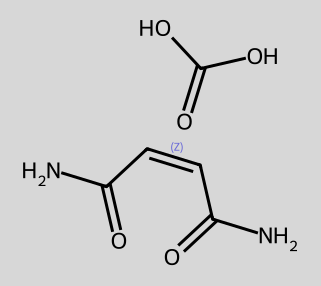 NC(=O)/C=C\C(N)=O.O=C(O)O